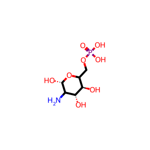 NC1[C@H](O)OC(COP(=O)(O)O)[C@@H](O)[C@@H]1O